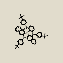 CC(C)(C)c1ccc(N2c3cc4ccccc4c4c3B3c5c(cccc5N(c5ccc(C(C)(C)C)cc5)c5c3c2cc2ccccc52)N4c2ccc(C(C)(C)C)cc2)cc1